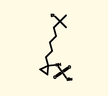 CCC(C)(C)CCCCCC1(NS(=O)(=O)C(C)(C)C)CC1